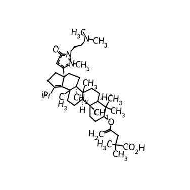 C=C(CC(C)(C)C(=O)O)OC1CC[C@@]2(C)[C@@H](CCC3(C)[C@@H]2CCC2(C)C4=C(C(C)C)CC[C@]4(c4cc(=O)n(CCN(C)C)n4C)CC[C@]23C)C1(C)C